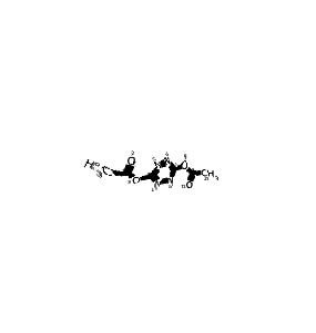 CC(=O)Oc1nnc(OC(C)=O)nn1